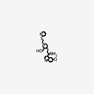 COc1ccc2nccc([C@@H](N)CC[C@@H]3CCN(CCSc4ccccn4)C[C@@H]3CO)c2c1